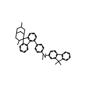 CC1CC2CC(C)C3(c4ccccc4-c4c(-c5ccc(N(C)c6ccc7c(c6)C(C)(C)c6ccccc6-7)cc5)cccc43)C(C1)C2